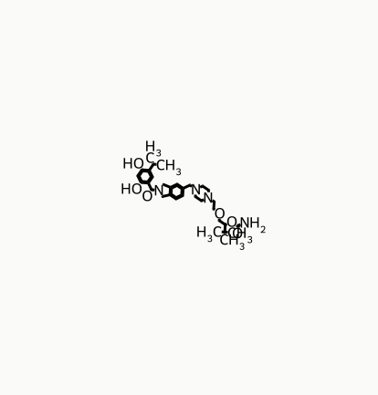 CC(C)c1cc(C(=O)N2Cc3ccc(CN4CCN(CCOCC(OC(N)=O)C(C)(C)C)CC4)cc3C2)c(O)cc1O